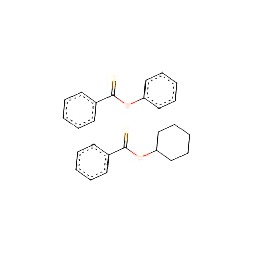 S=C(OC1CCCCC1)c1ccccc1.S=C(Oc1ccccc1)c1ccccc1